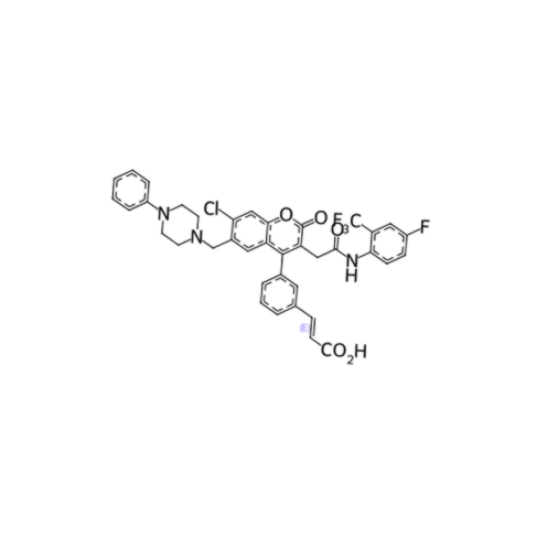 O=C(O)/C=C/c1cccc(-c2c(CC(=O)Nc3ccc(F)cc3C(F)(F)F)c(=O)oc3cc(Cl)c(CN4CCN(c5ccccc5)CC4)cc23)c1